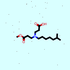 COC(=O)CCN(CCCCCC(C)C)CCC(=O)O